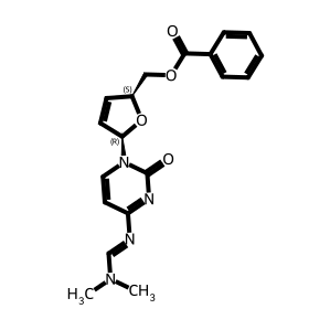 CN(C)C=Nc1ccn([C@H]2C=C[C@@H](COC(=O)c3ccccc3)O2)c(=O)n1